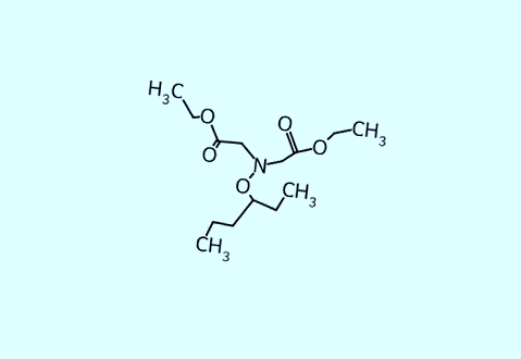 CCCC(CC)ON(CC(=O)OCC)CC(=O)OCC